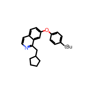 CC(C)(C)c1ccc(Oc2ccc3ccnc(CC4CCCC4)c3c2)cc1